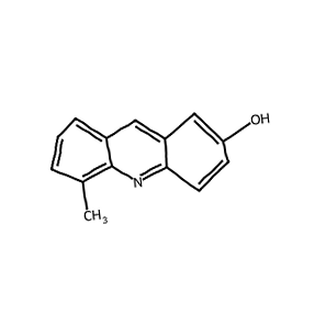 Cc1cccc2cc3cc(O)ccc3nc12